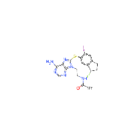 CC(C)C(=O)NCCn1c(Sc2cc3c(cc2I)CCC3F)nc2c(N)ncnc21